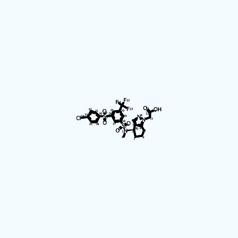 CN([C@@H]1CCCc2c1cnn2CC(=O)O)S(=O)(=O)c1cc(C(F)(F)F)cc(S(=O)(=O)c2ccc(Cl)cc2)c1